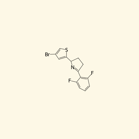 Fc1cccc(F)c1C1=NC(c2cc(Br)cs2)CC1